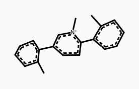 Cc1ccccc1-c1ccc(-c2ccccc2C)[n+](C)c1